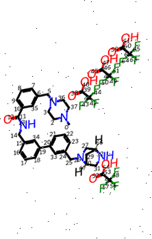 CN1CCN(Cc2cccc(C(=O)NCc3cccc(-c4cccc(CN5C[C@@H]6C[C@H]5CN6)c4)c3)c2)CC1.O=C(O)C(F)(F)F.O=C(O)C(F)(F)F.O=C(O)C(F)(F)F.O=C(O)C(F)(F)F